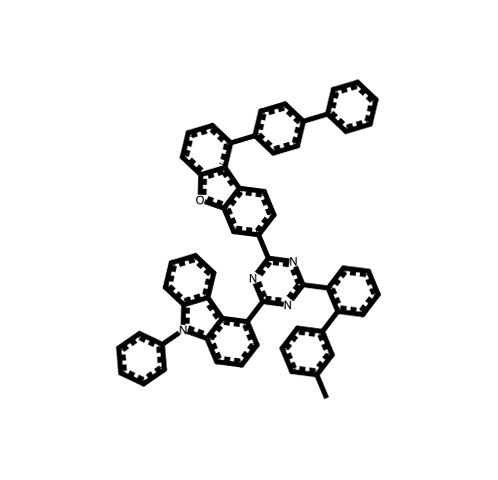 Cc1cccc(-c2ccccc2-c2nc(-c3ccc4c(c3)oc3cccc(-c5ccc(-c6ccccc6)cc5)c34)nc(-c3cccc4c3c3ccccc3n4-c3ccccc3)n2)c1